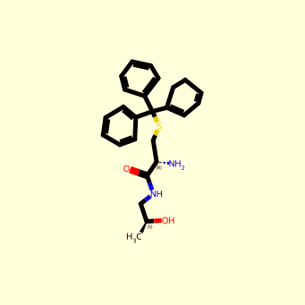 C[C@H](O)CNC(=O)[C@@H](N)CSC(C1=CC=CCC1)(c1ccccc1)c1ccccc1